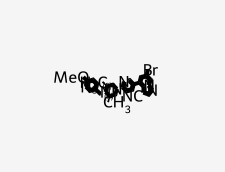 COc1ccc(CN2[C@H](C)CN(c3ccc(-c4cc(Br)cn5ncc(C#N)c45)cn3)C[C@@H]2C)cn1